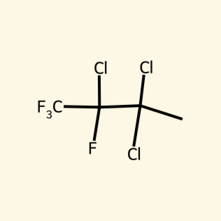 CC(Cl)(Cl)C(F)(Cl)C(F)(F)F